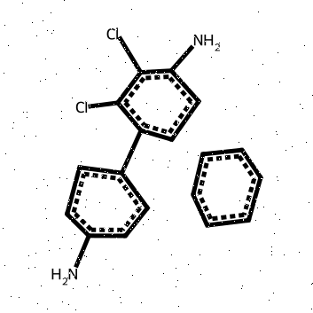 Nc1ccc(-c2ccc(N)c(Cl)c2Cl)cc1.c1ccccc1